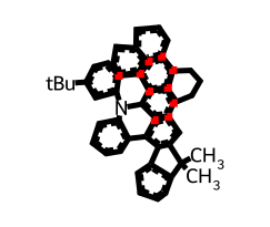 CC(C)(C)c1ccc(-c2ccccc2)c(N(c2ccccc2-c2cccc3c2-c2ccccc2C3(C)C)c2ccccc2-c2cccc3cccc(C4CCCCC4)c23)c1